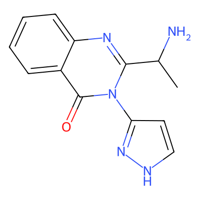 CC(N)c1nc2ccccc2c(=O)n1-c1cc[nH]n1